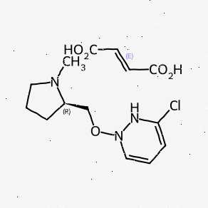 CN1CCC[C@@H]1CON1C=CC=C(Cl)N1.O=C(O)/C=C/C(=O)O